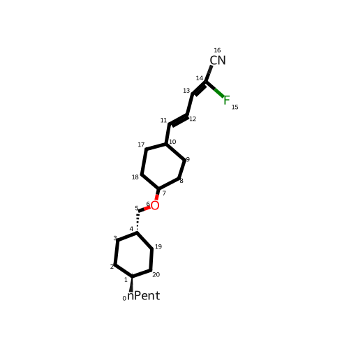 CCCCC[C@H]1CC[C@H](COC2CCC(C=CC=C(F)C#N)CC2)CC1